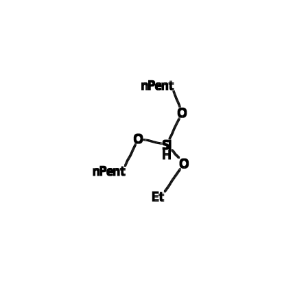 CCCCCO[SiH](OCC)OCCCCC